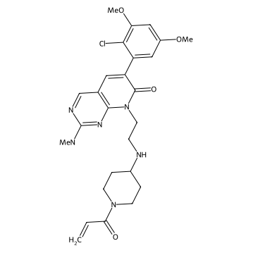 C=CC(=O)N1CCC(NCCn2c(=O)c(-c3cc(OC)cc(OC)c3Cl)cc3cnc(NC)nc32)CC1